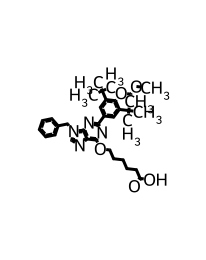 COCOc1c(C(C)(C)C)cc(-c2nc(OCCCCCC(=O)O)c3ncn(Cc4ccccc4)c3n2)cc1C(C)(C)C